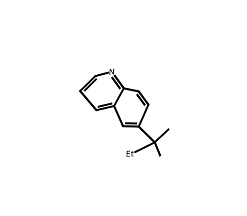 CCC(C)(C)c1ccc2ncccc2c1